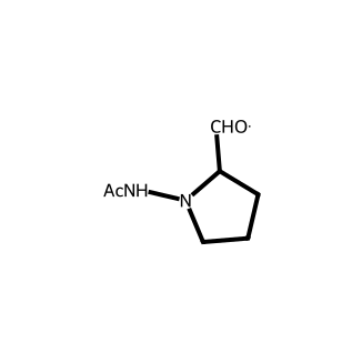 CC(=O)NN1CCCC1[C]=O